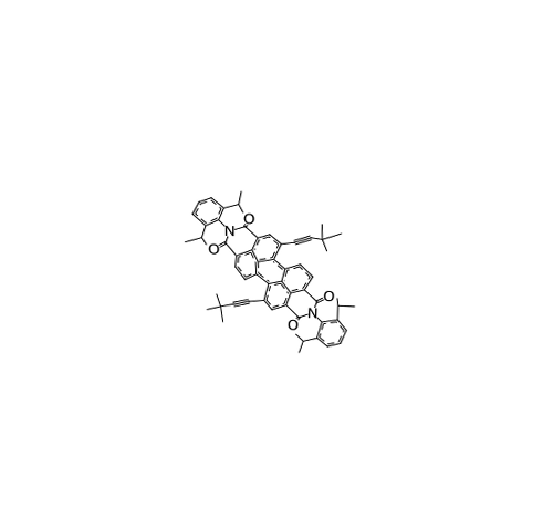 CC(C)c1cccc(C(C)C)c1N1C(=O)c2ccc3c4c(C#CC(C)(C)C)cc5c6c(ccc(c7c(C#CC(C)(C)C)cc(c2c37)C1=O)c64)C(=O)N(c1c(C(C)C)cccc1C(C)C)C5=O